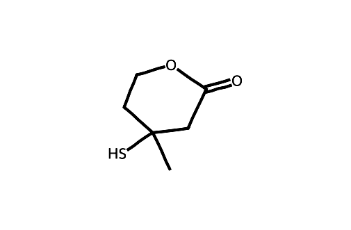 CC1(S)CCOC(=O)C1